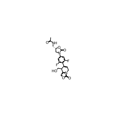 CC(=O)NC[C@H]1CN(c2cc(F)c(C3=CCn4c(coc4=O)C3CO)c(F)c2)C(=O)O1